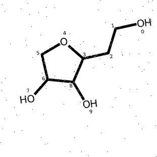 OCCC1OCC(O)C1O